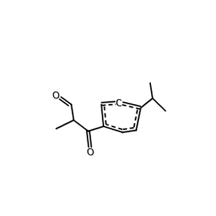 CC(C=O)C(=O)c1ccc(C(C)C)cc1